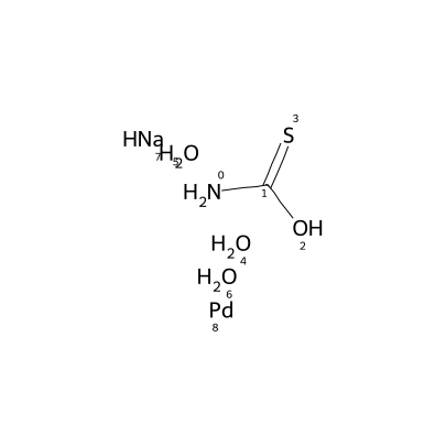 NC(O)=S.O.O.O.[NaH].[Pd]